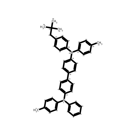 Cc1ccc(N(c2ccccc2)c2ccc(-c3ccc(N(c4ccc(C)cc4)c4ccc(CC(C)(C)C)cc4)cc3)cc2)cc1